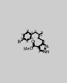 COC(=O)c1c[nH]nc1CCC(C)Cc1ccc(Br)cc1